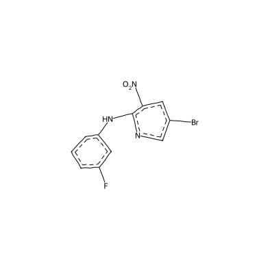 O=[N+]([O-])c1cc(Br)cnc1Nc1cccc(F)c1